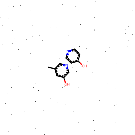 Cc1cncc(O)c1.Oc1ccncc1